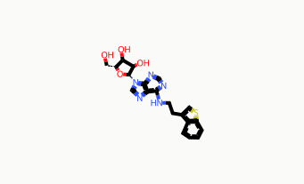 OC[C@H]1O[C@@H](n2cnc3c(NCCc4csc5ccccc45)ncnc32)C(O)C1O